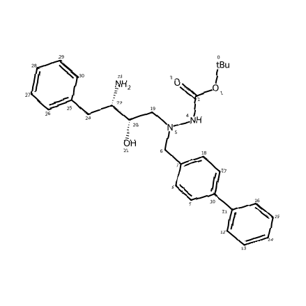 CC(C)(C)OC(=O)NN(Cc1ccc(-c2ccccc2)cc1)C[C@H](O)[C@@H](N)Cc1ccccc1